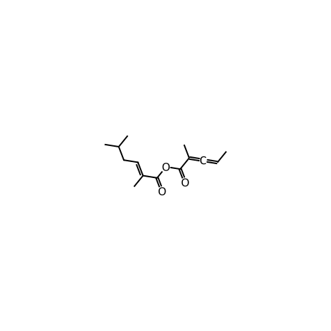 CC=C=C(C)C(=O)OC(=O)C(C)=CCC(C)C